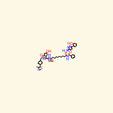 Cc1ncsc1-c1ccc(CNC(=O)[C@@H]2C[C@@H](O)CC2C(=O)[C@@H](NC(=O)CCCCCCCCC(=O)NC(COc2cc(-c3ccccc3O)nnc2N)c2ccccc2)C(C)(C)C)cc1